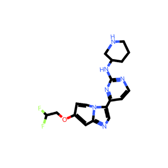 FC(F)COc1ccn2c(-c3ccnc(NC4CCCNC4)n3)cnc2c1